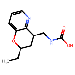 CC[C@@H]1C[C@H](CNC(=O)O)c2ncccc2O1